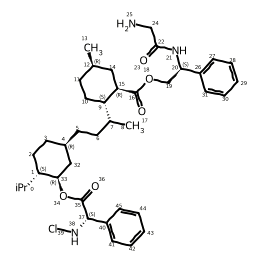 CC(C)[C@@H]1CC[C@@H](CCC(C)[C@@H]2CC[C@@H](C)C[C@H]2C(=O)OC[C@@H](NC(=O)CN)c2ccccc2)C[C@H]1OC(=O)[C@@H](NCl)c1ccccc1